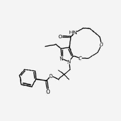 CCc1nn(CC(C)(C)COC(=O)c2ccccc2)c2c1C(=O)NCCCOCCC2